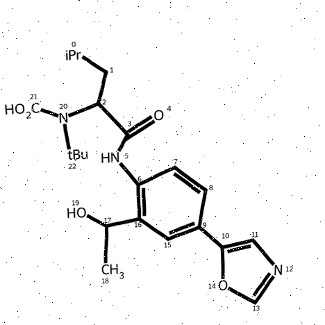 CC(C)CC(C(=O)Nc1ccc(-c2cnco2)cc1C(C)O)N(C(=O)O)C(C)(C)C